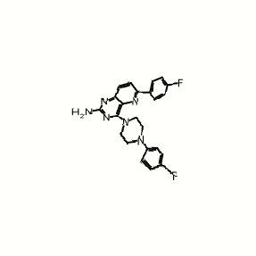 Nc1nc(N2CCN(c3ccc(F)cc3)CC2)c2nc(-c3ccc(F)cc3)ccc2n1